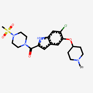 CC(C)N1CCC(Oc2cc3cc(C(=O)N4CCN(S(C)(=O)=O)CC4)[nH]c3cc2Cl)CC1